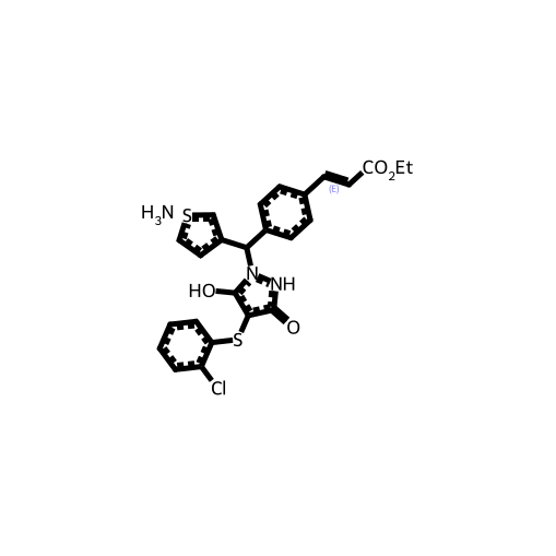 CCOC(=O)/C=C/c1ccc(C(c2ccsc2)n2[nH]c(=O)c(Sc3ccccc3Cl)c2O)cc1.N